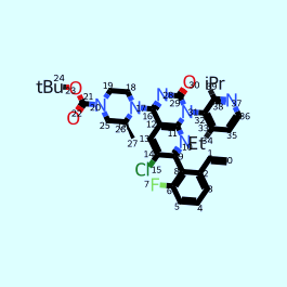 C=Cc1cccc(F)c1-c1nc2c(cc1Cl)c(N1CCN(C(=O)OC(C)(C)C)C[C@@H]1C)nc(=O)n2-c1c(CC)ccnc1C(C)C